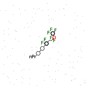 CCCC1CCC(C2CCC(c3ccc(CCC(F)(F)Oc4cc(F)c(F)c(F)c4)c(F)c3F)CC2)CC1